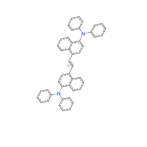 C(=C\c1ccc(N(c2ccccc2)c2ccccc2)c2ccccc12)/c1ccc(N(c2ccccc2)c2ccccc2)c2ccccc12